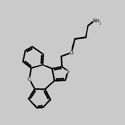 NCCCOCc1scc2c1-c1ccccc1Oc1ccccc1-2